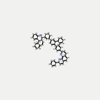 C1=CC2C(C3=CC(c4ccc5c6ccc(-c7ccc8ccc9ccc(-c%10ccccc%10)nc9c8n7)cc6c6ccccc6c5c4)=CCC3)=Nc3ccccc3C2c2ccccc21